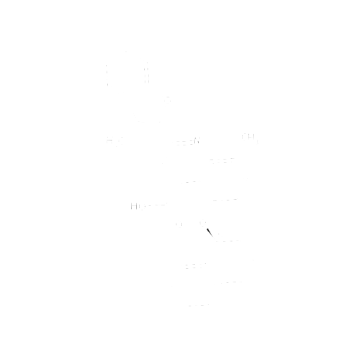 Cc1c(-c2cc(C(=O)O)c3c(O[C@H]4CCCc5ccccc54)ccc(C)c3n2)oc2ccccc12